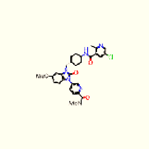 CNC(=O)c1ccc(-n2c(=O)n(C[C@H]3CC[C@H](NC(=O)c4cc(Cl)cnc4C)CC3)c3cc(OC)ccc32)cn1